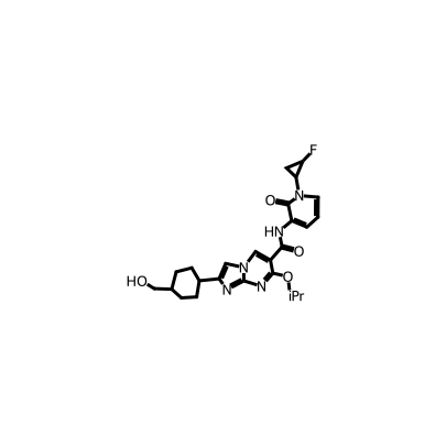 CC(C)Oc1nc2nc(C3CCC(CO)CC3)cn2cc1C(=O)Nc1cccn(C2CC2F)c1=O